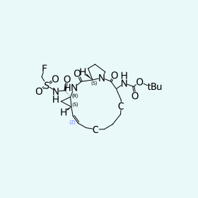 CC(C)(C)OC(=O)NC1CCCCCCC/C=C\[C@@H]2C[C@@]2(C(=O)NS(=O)(=O)CF)NC(=O)[C@@H]2CCCN2C1=O